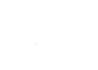 C1C[CH2][AlH][O]C1.[V]